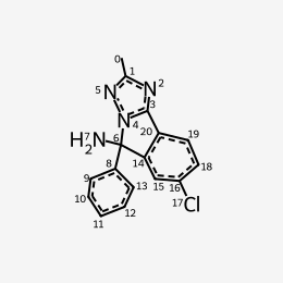 Cc1nc2n(n1)C(N)(c1ccccc1)c1cc(Cl)ccc1-2